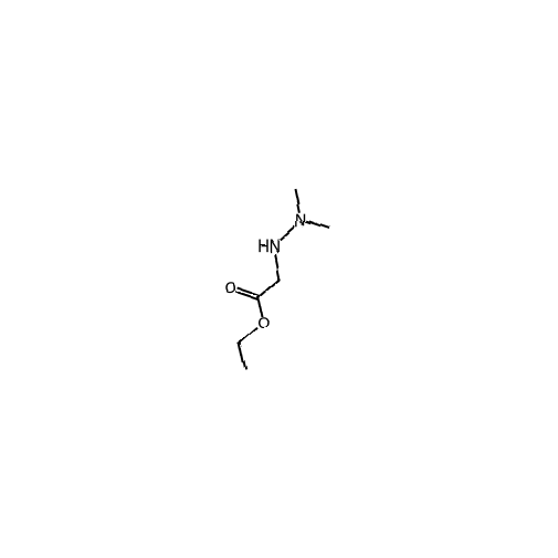 CCOC(=O)CNN(C)C